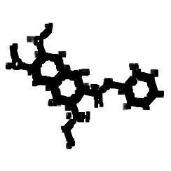 CCNc1nc2cc(OC)c(OC)cc2nc1NCc1ccccn1